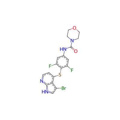 O=C(Nc1cc(F)c(Sc2ccnc3[nH]cc(Br)c23)c(F)c1)N1CCOCC1